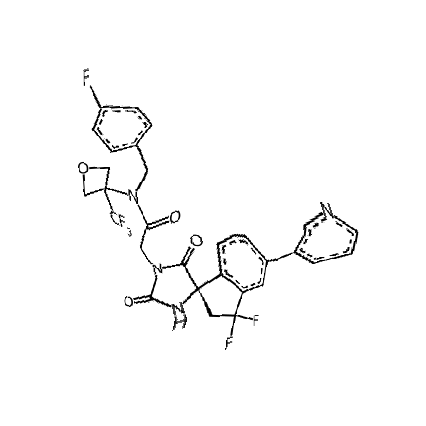 O=C1N[C@]2(CC(F)(F)c3cc(-c4cccnc4)ccc32)C(=O)N1CC(=O)N(Cc1ccc(F)cc1)C1(C(F)(F)F)COC1